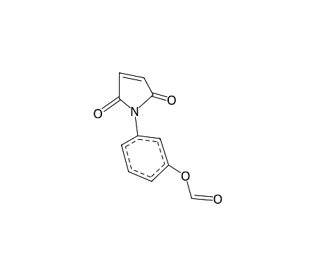 O=COc1cccc(N2C(=O)C=CC2=O)c1